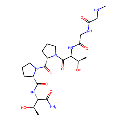 CNCC(=O)NCC(=O)N[C@H](C(=O)N1CCC[C@H]1C(=O)N1CCC[C@H]1C(=O)N[C@H](C(N)=O)[C@@H](C)O)[C@@H](C)O